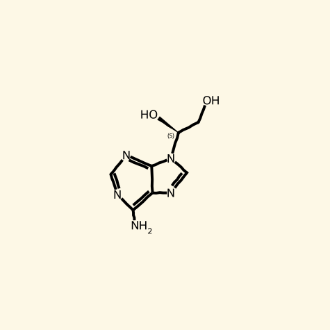 Nc1ncnc2c1ncn2[C@@H](O)CO